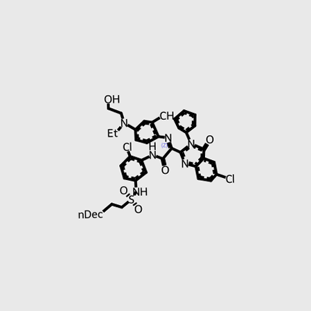 CCCCCCCCCCCCS(=O)(=O)Nc1ccc(Cl)c(NC(=O)/C(=N\c2ccc(N(CC)CCO)cc2C)c2nc3ccc(Cl)cc3c(=O)n2-c2ccccc2)c1